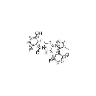 Cc1cnn(C2CCN(C(=O)c3cc(O)ccc3F)CC2)c1-c1cc(F)ccc1Cl